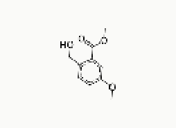 COC(=O)c1cc(OC)ccc1CO